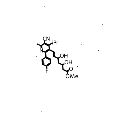 COC(=O)CC(O)CC(O)C=Cc1c(-c2ccc(F)cc2)nc(C)c(C#N)c1C(C)C